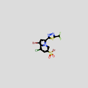 O=S(=O)(Br)c1cc(Cl)c2c(Br)cc(-c3nnc(C(F)F)s3)n2c1